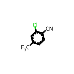 N#Cc1c[c]c(C(F)(F)F)cc1Cl